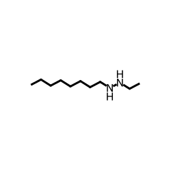 CCCCCCCCNNCC